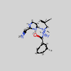 CC(C)CN(NC(=O)c1ccccc1)c1ccnc(C#N)n1